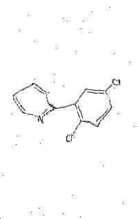 Clc1ccc(Cl)c(-c2[c]cccn2)c1